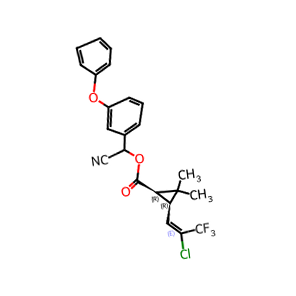 CC1(C)[C@H](C(=O)OC(C#N)c2cccc(Oc3ccccc3)c2)[C@@H]1/C=C(/Cl)C(F)(F)F